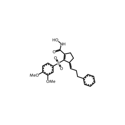 COc1ccc(S(=O)(=O)C2=C(C(=O)NO)CCC2=CCCc2ccccc2)cc1OC